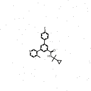 Cc1ccncc1-c1cc(C(=O)NC(C)(C)C2CC2)cc(-c2ccc(F)cc2)c1